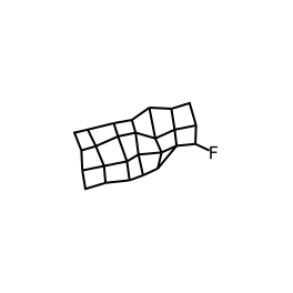 FC1C2CC3C4C5C6C7CC8C9CC%10C%11C%12C%13C1%14C23C41C%13%14C%122C%113C9%10C87C63C512